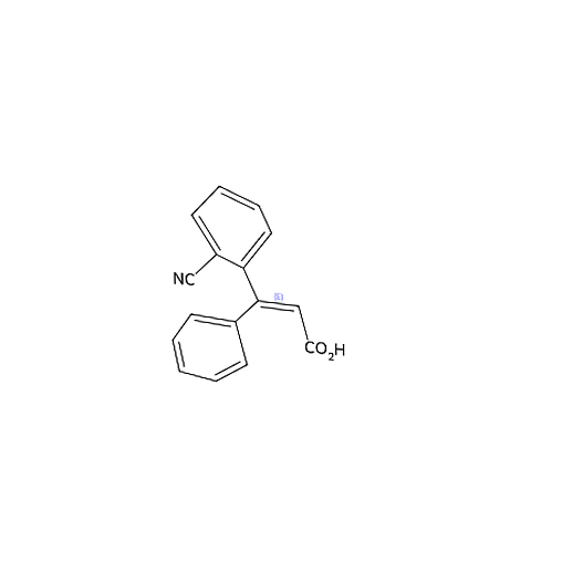 N#Cc1ccccc1/C(=C/C(=O)O)c1ccccc1